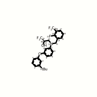 CC(C)(C)c1cccc(Oc2cccc(N(Cc3cccc(C(F)(F)F)c3F)C[C@@H](O)C(F)(F)F)c2)c1